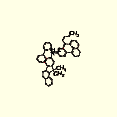 C=C/C=C\C(=C/C)c1cccc2cccc(-c3ccc(N(c4ccc5c(c4)C(C)(C)c4c-5ccc5ccccc45)c4ccccc4-c4ccccc4)cc3)c12